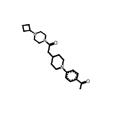 CC(=O)c1ccc(N2CCC(CC(=O)N3CCN(C4CCC4)CC3)CC2)cc1